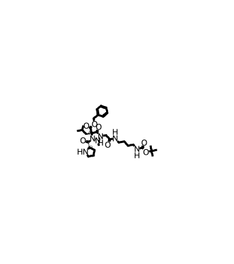 CC(C)C[C@](C(=O)NCC(=O)NCCCCNC(=O)OC(C)(C)C)(C(=O)OCc1ccccc1)N(C(=O)[C@@H]1CCCN1)N(C)C